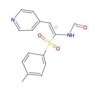 Cc1ccc(S(=O)(=O)/C(=C\c2ccncc2)NC=O)cc1